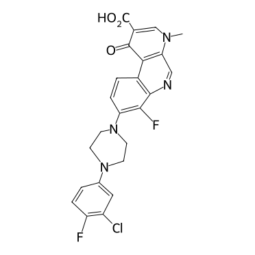 Cn1cc(C(=O)O)c(=O)c2c3ccc(N4CCN(c5ccc(F)c(Cl)c5)CC4)c(F)c3ncc21